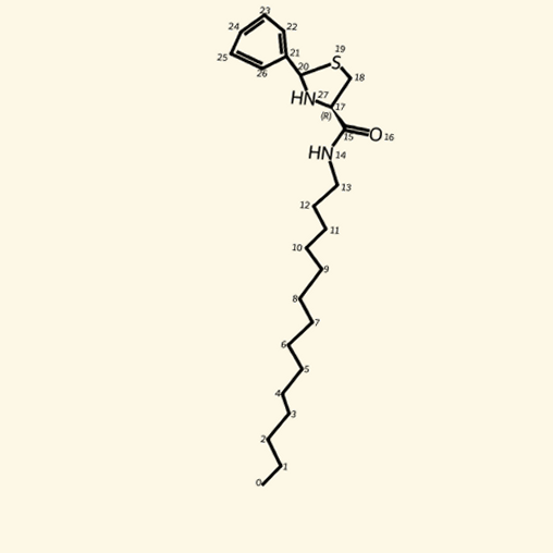 CCCCCCCCCCCCCCNC(=O)[C@@H]1CSC(c2ccccc2)N1